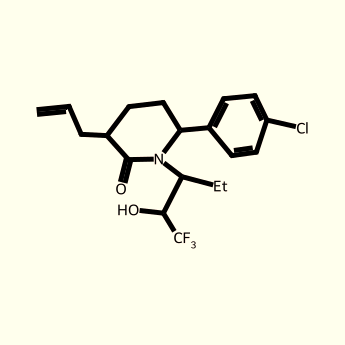 C=CCC1CCC(c2ccc(Cl)cc2)N(C(CC)C(O)C(F)(F)F)C1=O